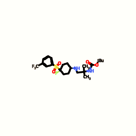 CC(C)(CN[C@H]1CC[C@@](F)(S(=O)(=O)c2cccc(C(F)(F)F)c2)CC1)NC(=O)OC(C)(C)C